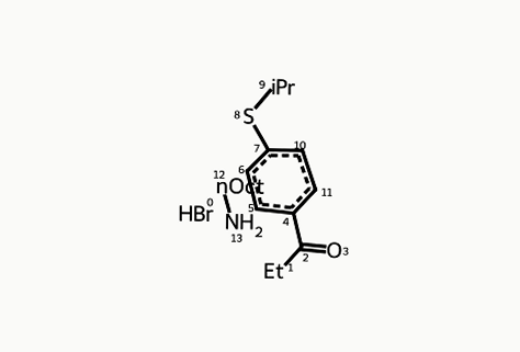 Br.CCC(=O)c1ccc(SC(C)C)cc1.CCCCCCCCN